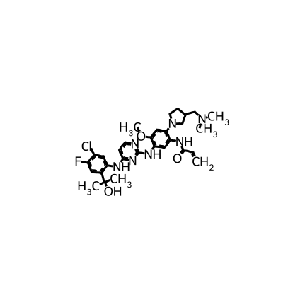 C=CC(=O)Nc1cc(Nc2nccc(Nc3cc(Cl)c(F)cc3C(C)(C)O)n2)c(OC)cc1N1CCC(CN(C)C)C1